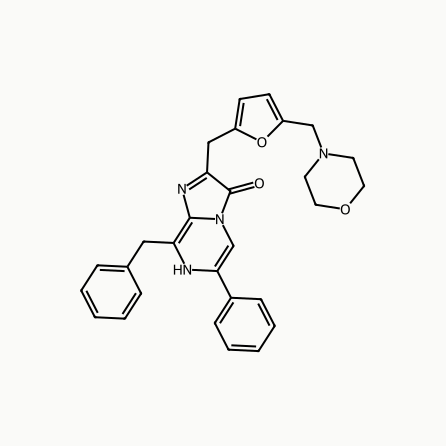 O=c1c(Cc2ccc(CN3CCOCC3)o2)nc2c(Cc3ccccc3)[nH]c(-c3ccccc3)cn1-2